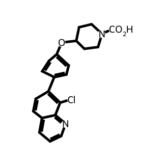 O=C(O)N1CCC(Oc2ccc(-c3ccc4cccnc4c3Cl)cc2)CC1